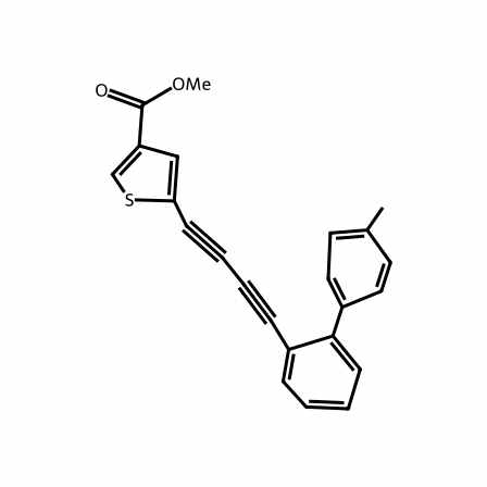 COC(=O)c1csc(C#CC#Cc2ccccc2-c2ccc(C)cc2)c1